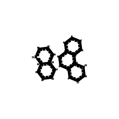 c1ccc2c(c1)ccc1cccnc12.c1ccc2ncccc2c1